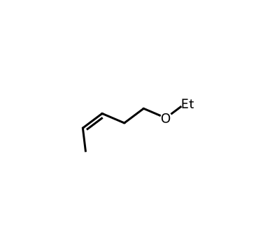 C/C=C\CCOCC